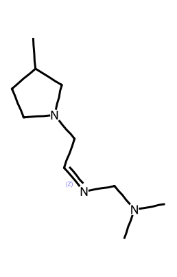 CC1CCN(C/C=N\CN(C)C)C1